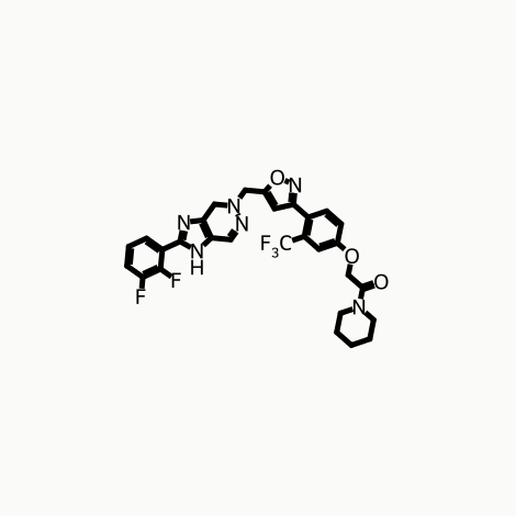 O=C(COc1ccc(-c2cc(CN3Cc4nc(-c5cccc(F)c5F)[nH]c4C=N3)on2)c(C(F)(F)F)c1)N1CCCCC1